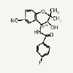 CC1(C)Oc2ccc(C#N)cc2[C@H](NC(=O)c2ccc(F)cc2)[C@@H]1O